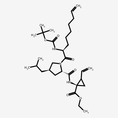 C=CCCCCC[C@H](NC(=O)OC(C)(C)C)C(=O)N1C[C@H](CC(C)C)C[C@H]1C(=O)N[C@]1(C(=O)OCC)CC1C=C